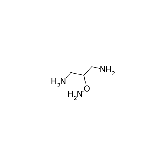 NCC(CN)ON